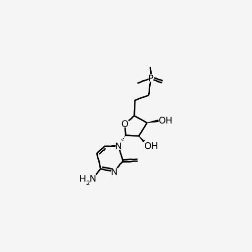 C=C1N=C(N)C=CN1[C@@H]1OC(CCP(=C)(C)C)[C@@H](O)[C@H]1O